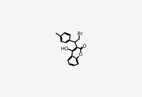 CC(=O)CC(c1ccc(C)cc1)c1c(O)c2ccccc2oc1=O